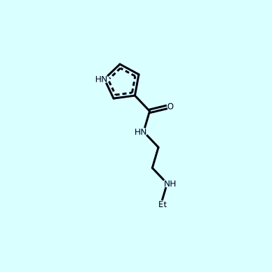 CCNCCNC(=O)c1cc[nH]c1